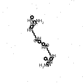 C=C1C=C(NCCCCCCNC(=O)c2ccc(-c3ccc(C(=O)NCCCCCCNc4cc5c(cc4C)nc4nc(C)c(N)cc4[n+]5-c4ccccc4)cc3)cc2)C(C)=C/C1=N/c1nc(C)c(N)cc1Nc1ccccc1